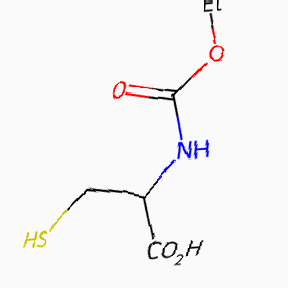 CCOC(=O)NC(CS)C(=O)O